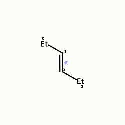 [CH2]C/C=C/CC